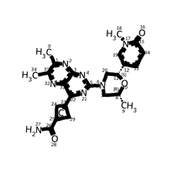 Cc1nc2nc(N3C[C@@H](C)O[C@@H](c4ccc(=O)n(C)c4)C3)nc(C34CC(C(N)=O)(C3)C4)c2nc1C